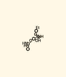 CCc1ccc(Oc2c[nH]nc2-c2ccc(OC/C(C=N)=C/Nc3ccccc3)cc2O)cc1